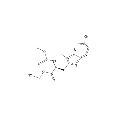 Cn1c(C[C@H](NC(=O)OC(C)(C)C)C(=O)OCC#N)nc2ccc(C#N)cc21